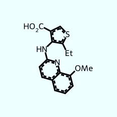 CCc1scc(C(=O)O)c1Nc1ccc2cccc(OC)c2n1